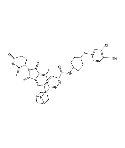 N#Cc1ccc(OC2CCC(NC(=O)c3ccc(N4CC5CC(C4)N5Cc4cc(F)c5c(c4)C(=O)N(C4CCC(=O)NC4=O)C5=O)nn3)CC2)cc1Cl